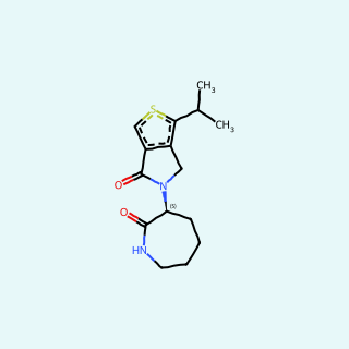 CC(C)c1scc2c1CN([C@H]1CCCCNC1=O)C2=O